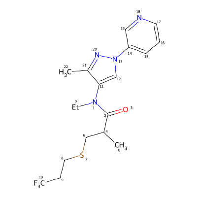 CCN(C(=O)C(C)CSCCC(F)(F)F)c1cn(-c2cccnc2)nc1C